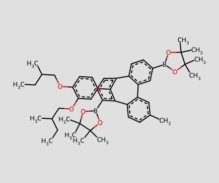 CCC(C)COc1ccc(-c2c3ccc(B4OC(C)(C)C(C)(C)O4)c2-c2ccc(C)cc2-c2cc(B4OC(C)(C)C(C)(C)O4)ccc2-3)cc1OCC(C)CC